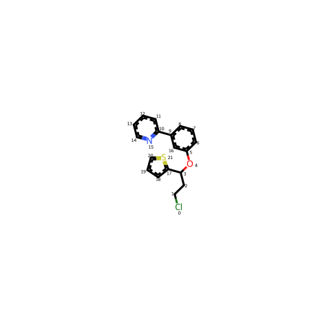 ClCCC(Oc1cccc(-c2ccccn2)c1)c1cccs1